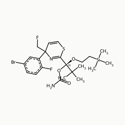 CC(C)(C)[C@](OCC[Si](C)(C)C)(OC(N)=O)C1=NC(CF)(c2cc(Br)ccc2F)C=CS1